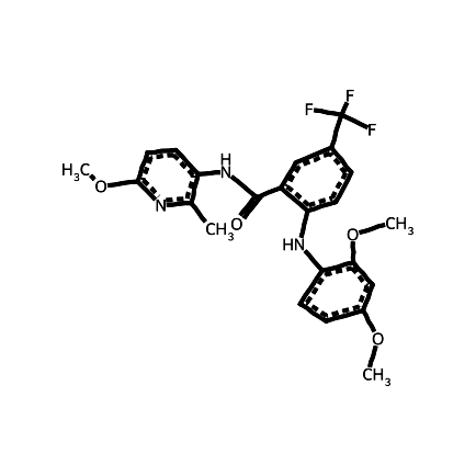 COc1ccc(Nc2ccc(C(F)(F)F)cc2C(=O)Nc2ccc(OC)nc2C)c(OC)c1